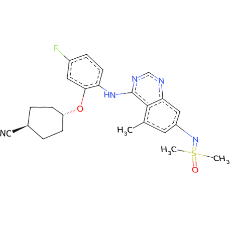 Cc1cc(N=S(C)(C)=O)cc2ncnc(Nc3ccc(F)cc3O[C@H]3CC[C@H](C#N)CC3)c12